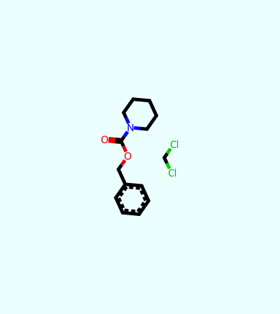 ClCCl.O=C(OCc1ccccc1)N1CCCCC1